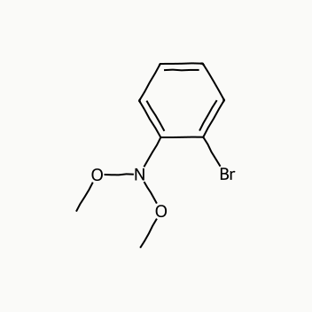 CON(OC)c1ccccc1Br